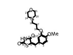 COc1ccc(C=C2SC(=O)NC2=O)cc1OCCCN1CCOCC1